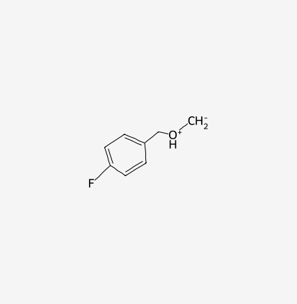 [CH2-][OH+]Cc1ccc(F)cc1